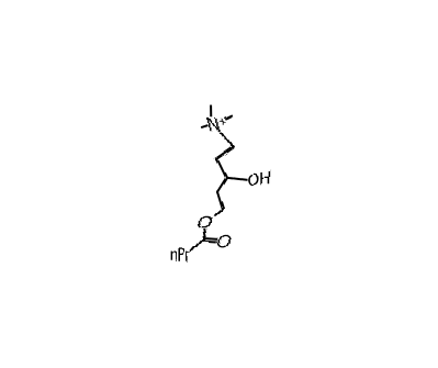 CCCC(=O)OCCC(O)CC[N+](C)(C)C